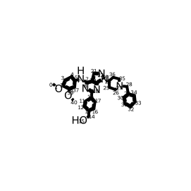 COc1ccc(Nc2nc(-c3ccc(CO)cc3)nc3c2cnn3C2CCN(Cc3ccccc3)CC2)cc1OC